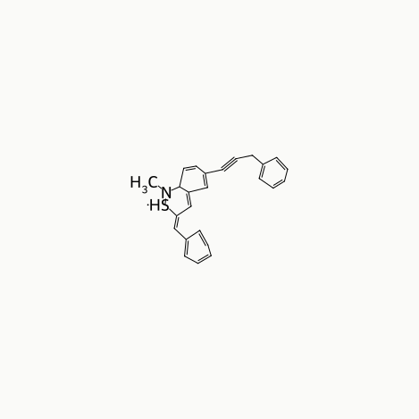 CN1[SH]/C(=C/c2ccccc2)C=C2C=C(C#CCc3ccccc3)C=CC21